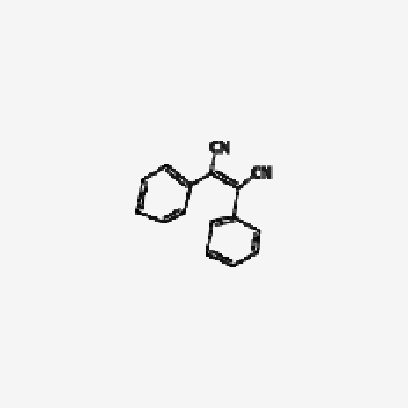 N#CC(=C(C#N)c1ccccc1)c1ccccc1